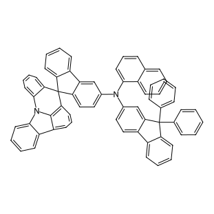 c1ccc(C2(c3ccccc3)c3ccccc3-c3ccc(N(c4ccc5c(c4)-c4ccccc4C54c5ccccc5-n5c6ccccc6c6cccc4c65)c4cccc5ccccc45)cc32)cc1